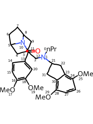 CCCN(CC1CC2CCC(C1)N2C(=O)c1ccc(OC)c(OC)c1)C1Cc2c(OC)ccc(OC)c2C1